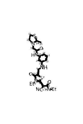 CCNC(=O)C(C#N)=c1sc(=CNc2cccc(NC(=O)CN3CCSC3C)c2)c(=O)n1CC